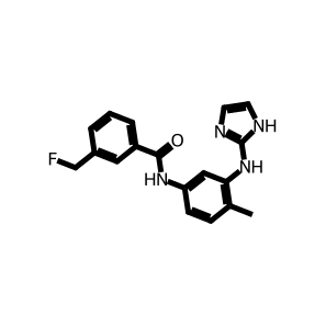 Cc1ccc(NC(=O)c2cccc(CF)c2)cc1Nc1ncc[nH]1